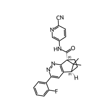 CC1(C)[C@H]2CC[C@]1(C(=O)Nc1ccc(C#N)nc1)c1nnc(-c3ccccc3F)cc12